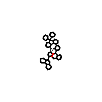 c1ccc(C2(c3ccccc3)c3ccccc3-c3c(N(c4ccc(-c5cc6ccccc6c6ccccc56)cc4)c4ccccc4-c4cccc5ccccc45)cccc32)cc1